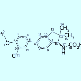 CC(C)Oc1ccc(-c2ccc3c(c2)CC(C)(C)[C@H]3NC(=O)O)cc1Cl